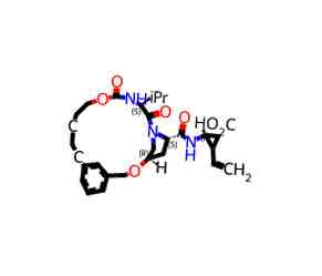 C=CC1C[C@]1(NC(=O)[C@@H]1C[C@@H]2CN1C(=O)[C@H](C(C)C)NC(=O)OCCCCCc1cccc(c1)CO2)C(=O)O